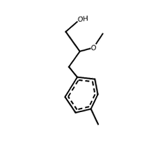 COC(CO)Cc1ccc(C)cc1